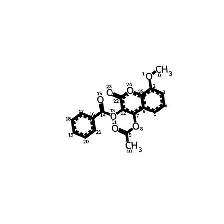 COc1cccc2c(OC(C)=O)c(OC(=O)c3ccccc3)c(=O)oc12